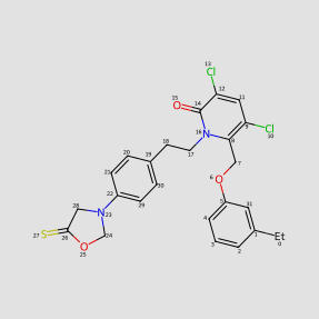 CCc1cccc(OCc2c(Cl)cc(Cl)c(=O)n2CCc2ccc(N3COC(=S)C3)cc2)c1